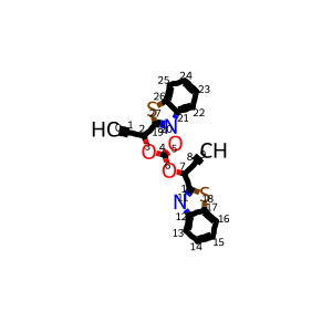 C#CC(OC(=O)OC(C#C)c1nc2ccccc2s1)c1nc2ccccc2s1